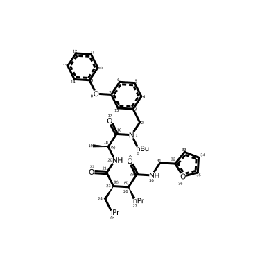 CCCCN(Cc1cccc(Oc2ccccc2)c1)C(=O)[C@H](C)NC(=O)[C@H](CC(C)C)[C@H](CCC)C(=O)NCc1ccco1